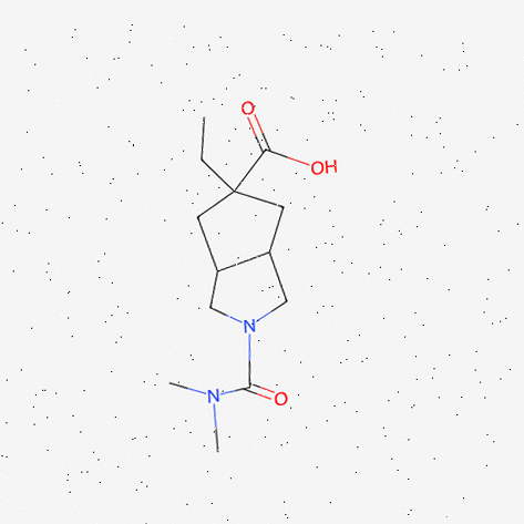 CCC1(C(=O)O)CC2CN(C(=O)N(C)C)CC2C1